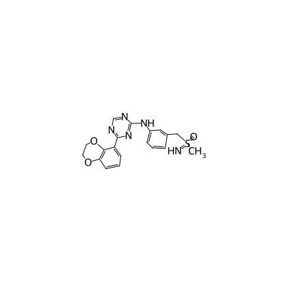 CS(=N)(=O)Cc1cccc(Nc2ncnc(-c3cccc4c3OCCO4)n2)c1